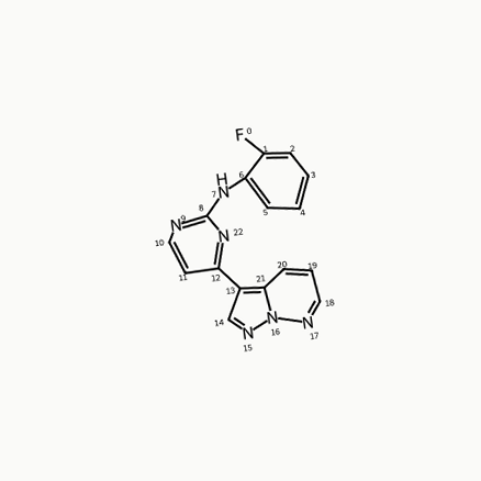 Fc1ccccc1Nc1nccc(-c2cnn3ncccc23)n1